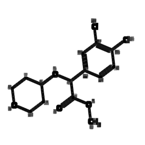 COC(=O)C(OC1CCOCC1)c1ccc(Cl)c(Cl)c1